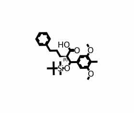 COc1cc(C(O[Si](C)(C)C(C)(C)C)[C@@H](CCCc2ccccc2)C(=O)O)cc(OC)c1C